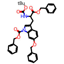 CC(C)(C)OC(=O)NC(Cc1cn(C(=O)OCc2ccccc2)c2cc(OCc3ccccc3)ccc12)C(=O)OCc1ccccc1